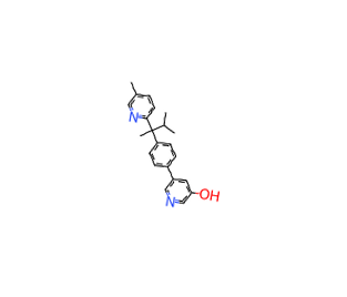 Cc1ccc(C(C)(c2ccc(-c3cncc(O)c3)cc2)C(C)C)nc1